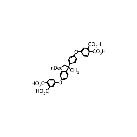 CCCCCCCCCCCC(C)(c1ccc(Oc2ccc(C(=O)O)c(C(=O)O)c2)cc1)c1ccc(Oc2ccc(C(=O)O)c(C(=O)O)c2)cc1